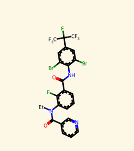 CCN(C(=O)c1cccnc1)c1cccc(C(=O)Nc2c(Br)cc(C(F)(C(F)(F)F)C(F)(F)F)cc2Br)c1F